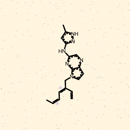 C=C/C(=C\C=C/C)Cn1ccc2ncc(Nc3cc(C)[nH]n3)nc21